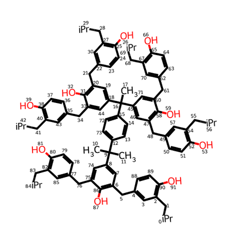 CC(C)Cc1cc(Cc2cc(C(C)(C)c3ccc(C(C)(c4cc(Cc5ccc(O)c(CC(C)C)c5)c(O)c(Cc5ccc(O)c(CC(C)C)c5)c4)c4cc(Cc5ccc(O)c(CC(C)C)c5)c(O)c(Cc5ccc(O)c(CC(C)C)c5)c4)cc3)cc(Cc3ccc(O)c(CC(C)C)c3)c2O)ccc1O